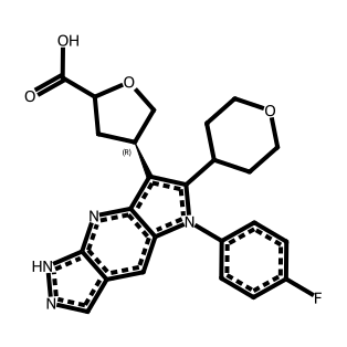 O=C(O)C1C[C@H](c2c(C3CCOCC3)n(-c3ccc(F)cc3)c3cc4cn[nH]c4nc23)CO1